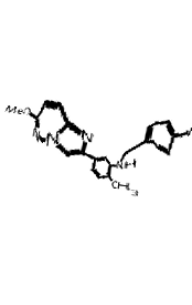 COc1ccc2nc(-c3ccc(C)c(NCc4ccc(F)cc4)c3)cn2n1